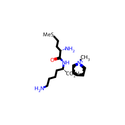 CSCC[C@H](N)C(=O)N[C@@H](CCCCN)C(=O)O.C[n+]1ccccc1